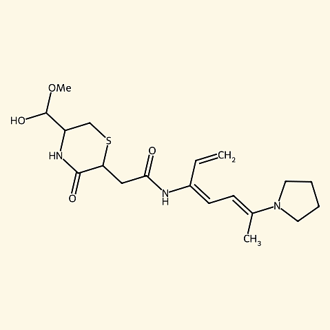 C=C/C(=C\C=C(/C)N1CCCC1)NC(=O)CC1SCC(C(O)OC)NC1=O